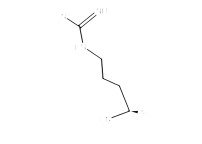 [CH2]C(=O)[C@@H](N)CCCNC(=N)N